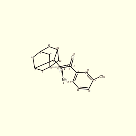 NC(=O)C12CC3CC(C1)C(NC(=O)c1cccc(Cl)n1)C(C3)C2